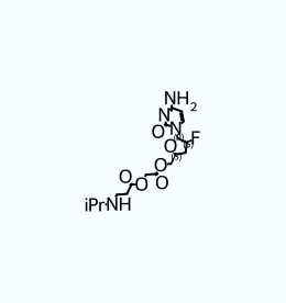 CC(C)NCCC(=O)OCC(=O)OC[C@@H]1C[C@H](F)[C@H](n2ccc(N)nc2=O)O1